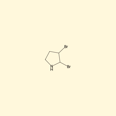 BrC1CCNC1Br